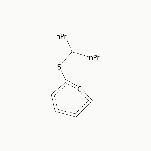 [CH2]CCC(CCC)Sc1ccccc1